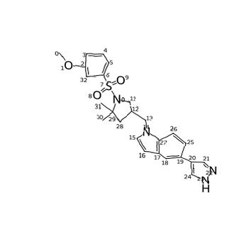 COc1cccc(S(=O)(=O)N2CC(Cn3ccc4cc(-c5cn[nH]c5)ccc43)CC2(C)C)c1